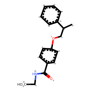 CC(COc1ccc(C(=O)NCC(=O)O)cc1)c1ccccc1